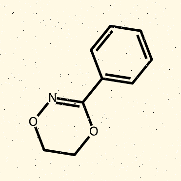 c1ccc(C2=NOCCO2)cc1